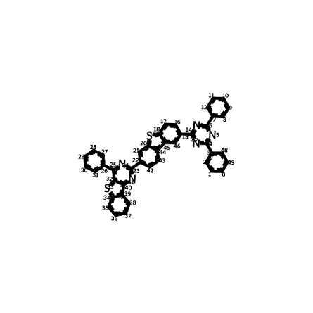 c1ccc(-c2nc(-c3ccccc3)nc(-c3ccc4sc5cc(-c6nc(-c7ccccc7)c7sc8ccccc8c7n6)ccc5c4c3)n2)cc1